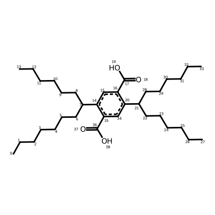 CCCCCCCC(CCCCCC)c1cc(C(=O)O)c(C(CCCCCC)CCCCCC)cc1C(=O)O